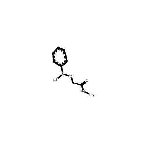 CCCNC(=O)CON(CC)c1ccccc1